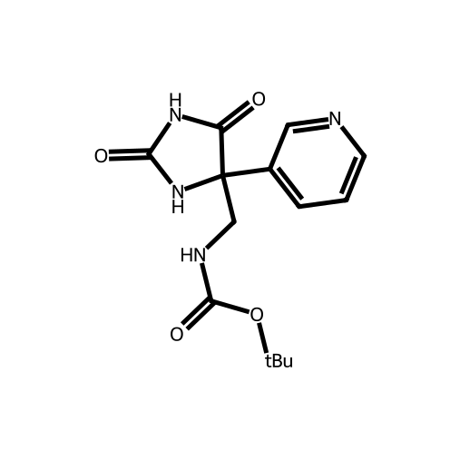 CC(C)(C)OC(=O)NCC1(c2cccnc2)NC(=O)NC1=O